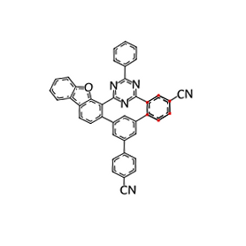 N#Cc1ccc(-c2cc(-c3ccc(C#N)cc3)cc(-c3ccc4c(oc5ccccc54)c3-c3nc(-c4ccccc4)nc(-c4ccccc4)n3)c2)cc1